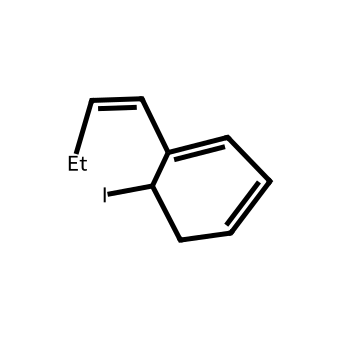 CC/C=C\C1=CC=CCC1I